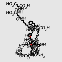 CC[C@H](C)[C@@H]1NC(=O)CNC(=O)[C@H]2Cc3c([nH]c4cc(OCCCSSC[C@H](NC(=O)[C@H](Cc5ccccc5)NC(=O)[C@H](Cc5ccccc5)NC(=O)CCCCCCCNC(=O)CCC(NC(=O)NC(CCC(=O)O)C(=O)O)C(=O)O)C(=O)O)ccc34)[S+]([O-])C[C@H](NC(=O)CNC1=O)C(=O)N[C@@H](CC(N)=O)C(=O)N1C[C@H](O)C[C@H]1C(=O)N[C@@H]([C@@H](C)[C@@H](O)CO)C(=O)N2